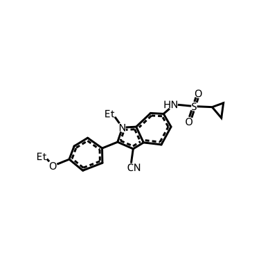 CCOc1ccc(-c2c(C#N)c3ccc(NS(=O)(=O)C4CC4)cc3n2CC)cc1